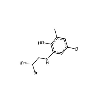 Cc1cc(Cl)cc(NC[C@H](Br)C(C)C)c1O